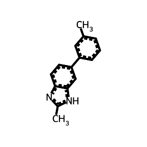 Cc1cccc(-c2ccc3nc(C)[nH]c3c2)c1